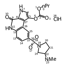 CCCOC(=O)Oc1c[nH]c2c(=O)[nH]c3ccc(S(=O)(=O)N4CCC(NC)C4)cc3c12.Cl